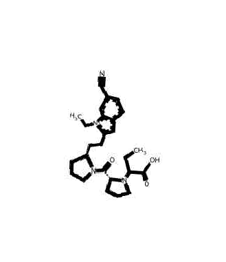 CCC(C(=O)O)N1CCC[C@@H]1C(=O)N1CCC[C@H]1CCc1cc2ccc(C#N)cc2n1CC